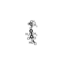 CCS(=O)(=O)C[C@@H](C)COc1ccc(C(C)(C)c2cc(Cl)c(OC[C@@H](O)CCl)c(Cl)c2)cc1